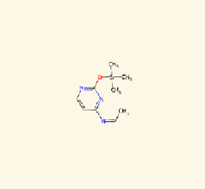 C/C=N\c1ccnc(O[Si](C)(C)C)n1